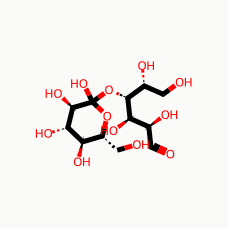 O=C[C@H](O)[C@@H](O)[C@H](OC1(O)O[C@H](CO)[C@@H](O)[C@H](O)[C@H]1O)[C@H](O)CO